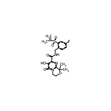 CN(C)S(=O)(=O)c1cc(F)ccc1CNC(=O)c1nc2n(c(=O)c1O)CCOC2(C)C